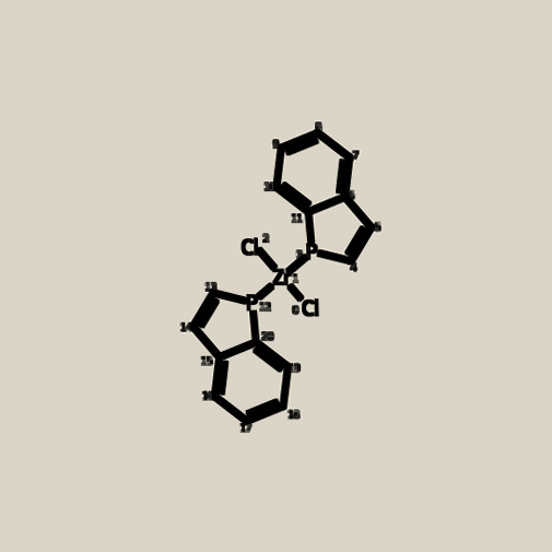 [Cl][Zr]([Cl])([p]1ccc2ccccc21)[p]1ccc2ccccc21